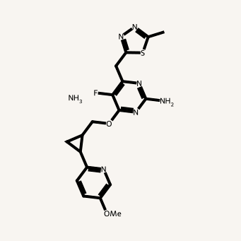 COc1ccc(C2CC2COc2nc(N)nc(Cc3nnc(C)s3)c2F)nc1.N